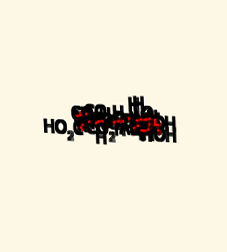 CC(=O)N1CCC(Cc2ccc(-n3c(C(=O)NCCNC(=O)NCCOCCOCCOCCOCCNC(=O)CC[C@H](C(=O)O)N4CCN(CC(=O)O)CCN(CC(=O)O)CCN(CC(=O)O)CC4)nnc3-c3cc(C(C)C)c(O)cc3O)cc2)CC1